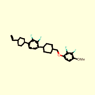 C=CC1CCC(c2ccc(C3CCC(COc4ccc(OC)c(F)c4F)CC3)c(F)c2F)CC1